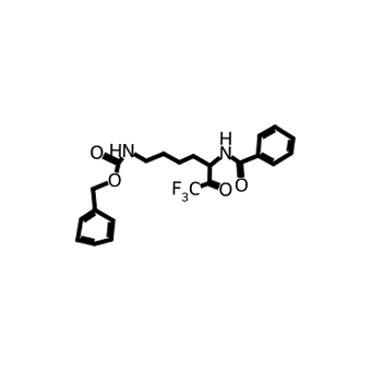 O=C(NCCCCC(NC(=O)c1ccccc1)C(=O)C(F)(F)F)OCc1ccccc1